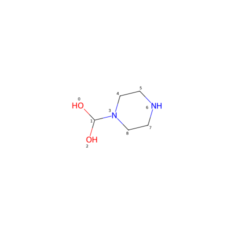 OC(O)N1CCNCC1